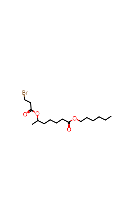 CCCCCCOC(=O)CCCCC(C)OC(=O)CCBr